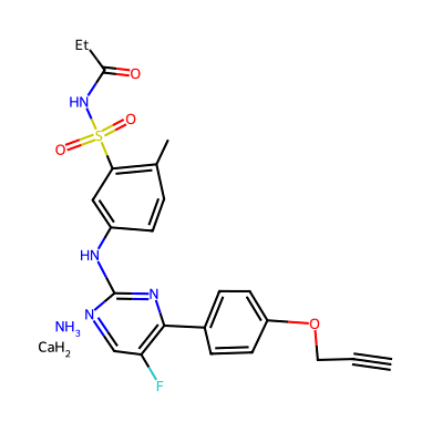 C#CCOc1ccc(-c2nc(Nc3ccc(C)c(S(=O)(=O)NC(=O)CC)c3)ncc2F)cc1.N.[CaH2]